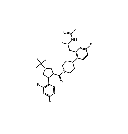 CC(=O)NC(C)Cc1cc(F)ccc1C1CCN(C(=O)C2CN(C(C)(C)C)CC2c2ccc(F)cc2F)CC1